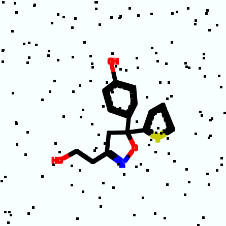 OCCC1=NOC(c2ccc(O)cc2)(c2cccs2)C1